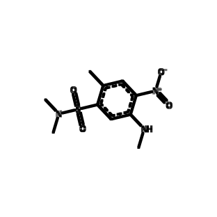 CNc1cc(S(=O)(=O)N(C)C)c(C)cc1[N+](=O)[O-]